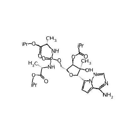 CC(C)OC(=O)[C@H](C)NP(=O)(N[C@@H](C)C(=O)OC(C)C)OC[C@H]1O[C@@H](c2ccc3c(N)ncnn23)[C@](C)(O)[C@@H]1OC(=O)C(C)C